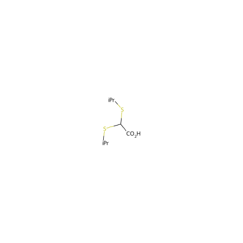 CC(C)SC(SC(C)C)C(=O)O